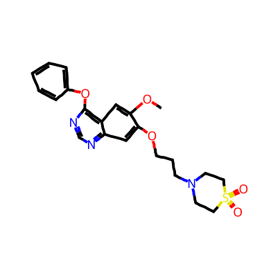 COc1cc2c(Oc3ccccc3)ncnc2cc1OCCCN1CCS(=O)(=O)CC1